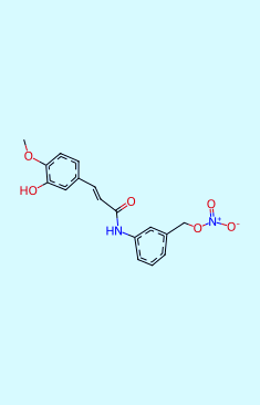 COc1ccc(/C=C/C(=O)Nc2cccc(CO[N+](=O)[O-])c2)cc1O